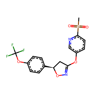 CS(=O)(=O)c1ccc(OC2=NO[C@@H](c3ccc(OC(F)(F)F)cc3)C2)cn1